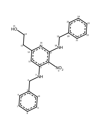 O=[N+]([O-])c1c(NCc2ccccc2)cc(CCO)nc1NCc1ccccc1